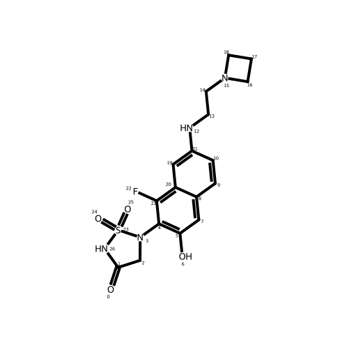 O=C1CN(c2c(O)cc3ccc(NCCN4CCC4)cc3c2F)S(=O)(=O)N1